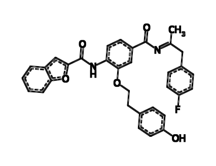 C/C(Cc1ccc(F)cc1)=N\C(=O)c1ccc(NC(=O)c2cc3ccccc3o2)c(OCCc2ccc(O)cc2)c1